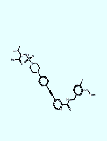 COCc1cc(CNC(=O)c2cc(C#Cc3ccc(N4CCN(S(=O)(=O)N[C@@H](C(=O)O)C(C)C)CC4)cc3)ccn2)ccc1F